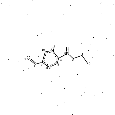 CCCNc1cnc(C=O)cn1